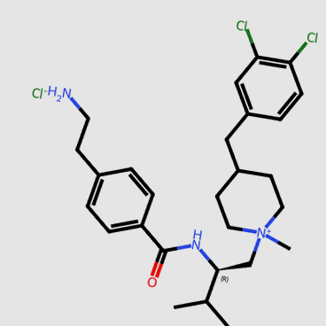 CC(C)[C@H](C[N+]1(C)CCC(Cc2ccc(Cl)c(Cl)c2)CC1)NC(=O)c1ccc(CCN)cc1.[Cl-]